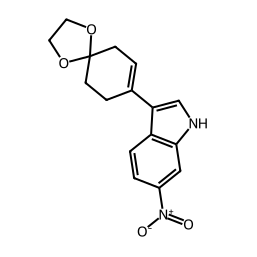 O=[N+]([O-])c1ccc2c(C3=CCC4(CC3)OCCO4)c[nH]c2c1